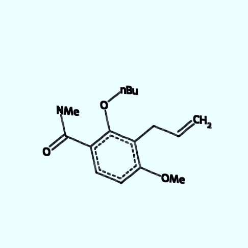 C=CCc1c(OC)ccc(C(=O)NC)c1OCCCC